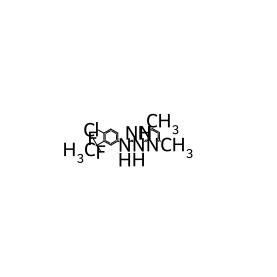 Cc1cc(C)nc(NC(=N)Nc2ccc(Cl)c(C(C)(F)F)c2)n1